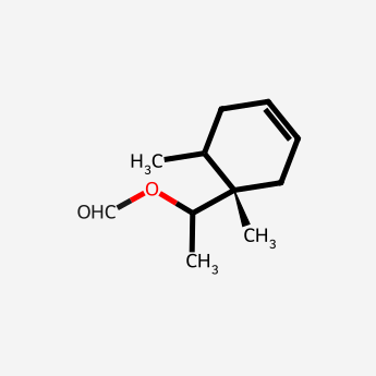 CC1CC=CC[C@]1(C)C(C)OC=O